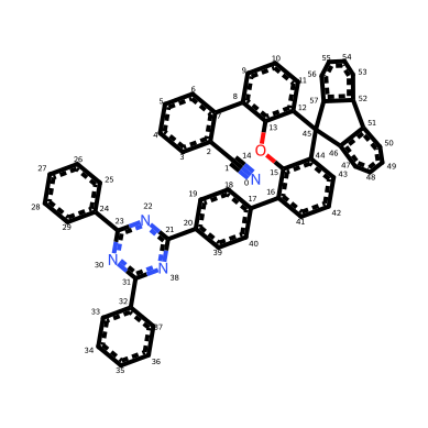 N#Cc1ccccc1-c1cccc2c1Oc1c(-c3ccc(-c4nc(-c5ccccc5)nc(-c5ccccc5)n4)cc3)cccc1C21c2ccccc2-c2ccccc21